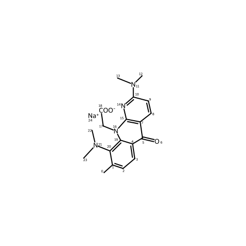 Cc1ccc2c(=O)c3ccc(N(C)C)nc3n(CC(=O)[O-])c2c1N(C)C.[Na+]